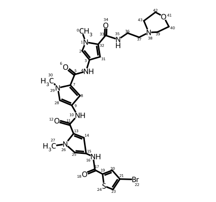 Cn1cc(NC(=O)c2cc(NC(=O)c3cc(NC(=O)c4cc(Br)cs4)cn3C)cn2C)cc1C(=O)NCCN1CCOCC1